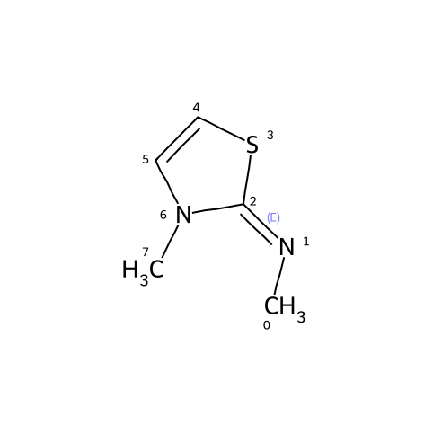 C/N=c1/sccn1C